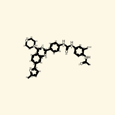 CC(=O)Nc1ccc(NC(=O)Nc2ccc(-c3nc(N4CCOCC4)c4ccc(-c5ccc(C)o5)cc4n3)cc2)cc1F